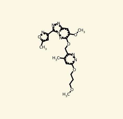 COCCCOc1cc(C)c(COc2nn3c(-c4cc(C)on4)nnc3cc2OC)nn1